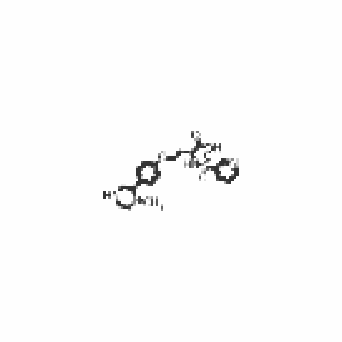 CN1CCNCC1c1ccc(OCC[C@H](NS(=O)(=O)c2cccnc2)C(=O)O)cc1